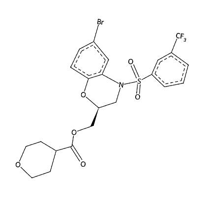 O=C(OC[C@@H]1CN(S(=O)(=O)c2cccc(C(F)(F)F)c2)c2cc(Br)ccc2O1)C1CCOCC1